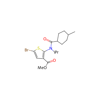 COC(=O)c1cc(Br)sc1N(C(=O)C1CCC(C)CC1)C(C)C